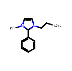 CCCCCCCCCCCCN1C=CN(CCC)C1c1ccccc1